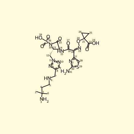 CC(C)(N)CCNCc1cnn(C[C@H]2C(NC(=O)/C(=N\OC3(C(=O)O)CC3)c3csc(N)n3)C(=O)N2S(=O)(=O)O)n1